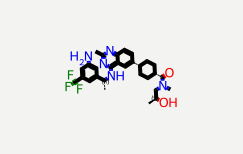 Cc1nc(N[C@H](C)c2cc(N)cc(C(F)(F)F)c2)c2cc([C@H]3CC[C@@H](C(=O)N(C)C[C@H](C)O)CC3)ccc2n1